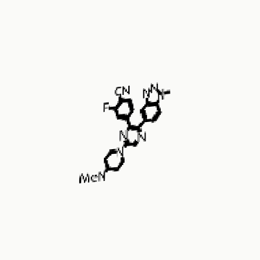 CNC1CCN(c2cnc(-c3ccc4c(c3)nnn4C)c(-c3ccc(C#N)c(F)c3)n2)CC1